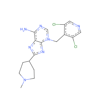 CN1CCC(c2nc3c(N)ncn(Cc4c(Cl)cncc4Cl)c-3n2)CC1